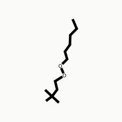 CCCCCCOOCCC(C)(C)C